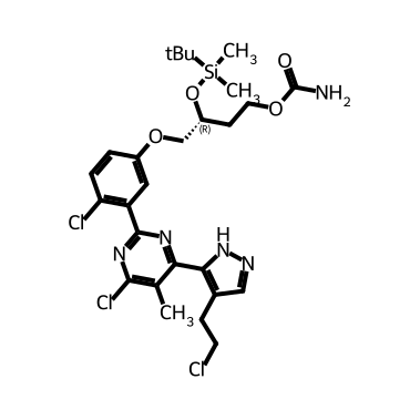 Cc1c(Cl)nc(-c2cc(OC[C@@H](CCOC(N)=O)O[Si](C)(C)C(C)(C)C)ccc2Cl)nc1-c1[nH]ncc1CCCl